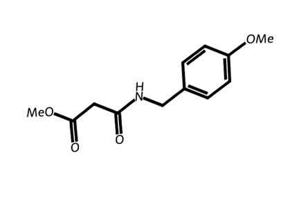 COC(=O)CC(=O)NCc1ccc(OC)cc1